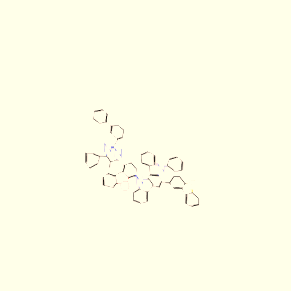 Cc1c(-c2ccccc2)nc(-c2cccc(-c3ccccc3)c2)nc1-c1ccc(-n2c3ccccc3c3cc(-c4ccc5sc6ccccc6c5c4)c4c(c5ccccc5n4-c4ccccc4)c32)c2oc3ccccc3c12